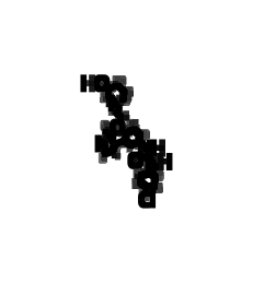 Cn1nccc1-c1cc(NC(=O)Nc2ccc(Cl)cc2)ccc1OCCN1CCCC(O)C1